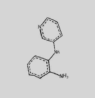 Nc1ccccc1Nc1cccnc1